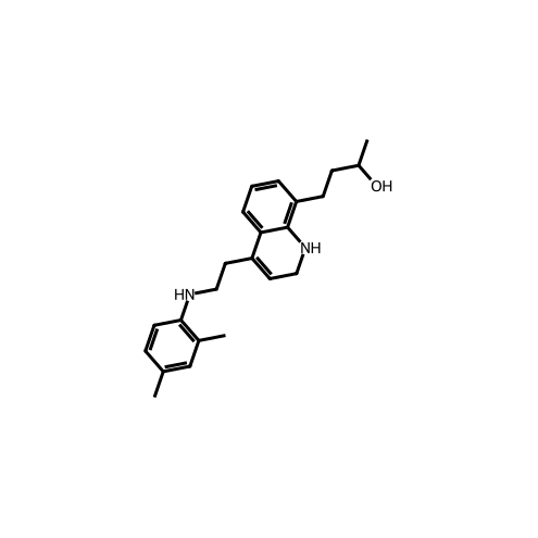 Cc1ccc(NCCC2=CCNc3c(CCC(C)O)cccc32)c(C)c1